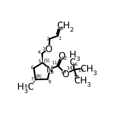 C=CCOC[C@@H]1C[C@@H](C)CN1C(=O)OC(C)(C)C